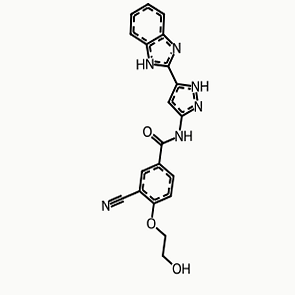 N#Cc1cc(C(=O)Nc2cc(-c3nc4ccccc4[nH]3)[nH]n2)ccc1OCCO